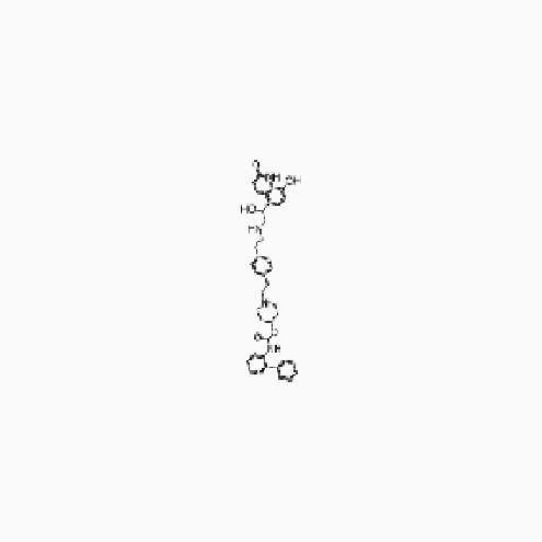 O=C(Nc1ccccc1-c1ccccc1)OC1CCN(CCc2ccc(CCNCC(O)c3ccc(O)c4[nH]c(=O)ccc34)cc2)CC1